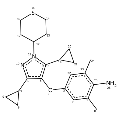 Cc1cc(Oc2c(C3CC3)nn(C3CCSCC3)c2C2CC2)cc(C)c1N